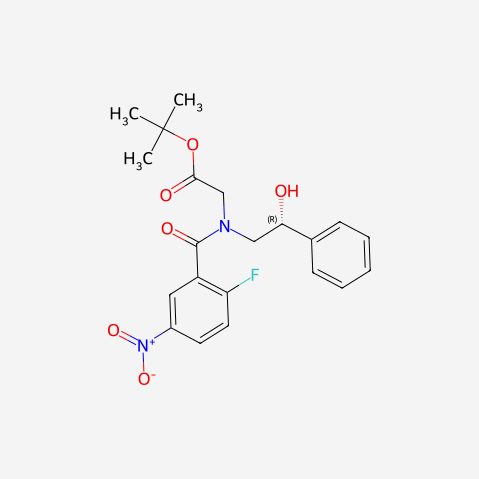 CC(C)(C)OC(=O)CN(C[C@H](O)c1ccccc1)C(=O)c1cc([N+](=O)[O-])ccc1F